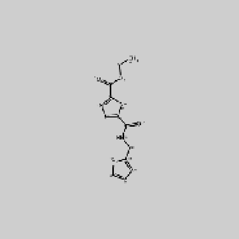 CCOC(=O)c1ncc(C(=O)NCc2ccco2)[nH]1